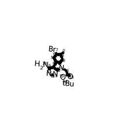 Cc1cc2c(cc1Br)c1c(N)ncnc1n2CC(=O)OC(C)(C)C